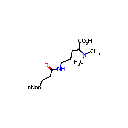 CCCCCCCCCCCC(=O)NCCCC(C(=O)O)N(C)C